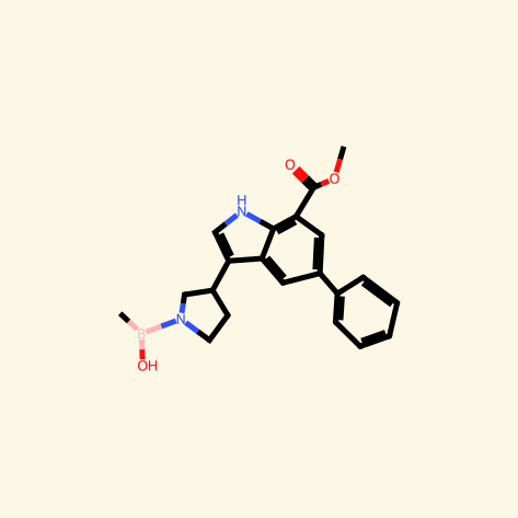 COC(=O)c1cc(-c2ccccc2)cc2c(C3CCN(B(C)O)C3)c[nH]c12